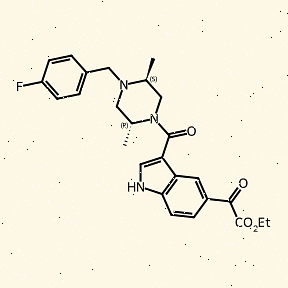 CCOC(=O)C(=O)c1ccc2[nH]cc(C(=O)N3C[C@H](C)N(Cc4ccc(F)cc4)C[C@H]3C)c2c1